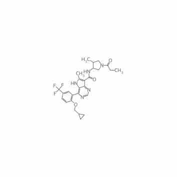 CCC(=O)N1CC(C)C(NC(=O)c2c(C)[nH]c3c(-c4cc(C(F)(F)F)ccc4OCC4CC4)ncnc23)C1